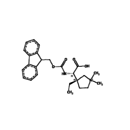 CC[C@]1([C@H](NC(=O)OCC2c3ccccc3-c3ccccc32)C(=O)O)CC[N+](C)(C)C1